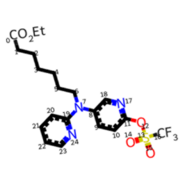 CCOC(=O)CCCCCCN(c1ccc(OS(=O)(=O)C(F)(F)F)nc1)c1ccccn1